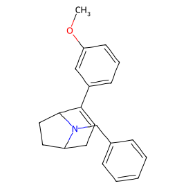 COc1cccc(C2=CCC3CCC2N3Cc2ccccc2)c1